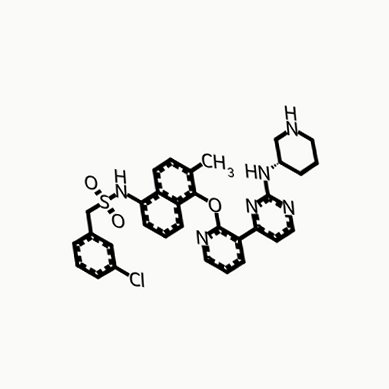 Cc1ccc2c(NS(=O)(=O)Cc3cccc(Cl)c3)cccc2c1Oc1ncccc1-c1ccnc(N[C@H]2CCCNC2)n1